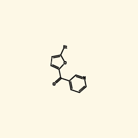 CCc1ccc(C(=O)c2cccnc2)o1